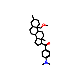 COCC12CCC(C)CC1CCC1C3CCC(C(=O)c4ccc(N(C)C)cc4)C3(C)CCC12